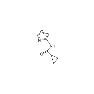 O=C(Nc1n[c]on1)C1CC1